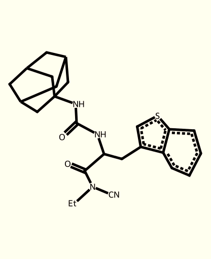 CCN(C#N)C(=O)C(Cc1csc2ccccc12)NC(=O)NC12CC3CC(CC(C3)C1)C2